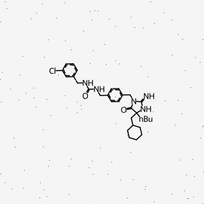 CCCCC1(CC2CCCCC2)NC(=N)N(Cc2ccc(CNC(=O)NCc3cccc(Cl)c3)cc2)C1=O